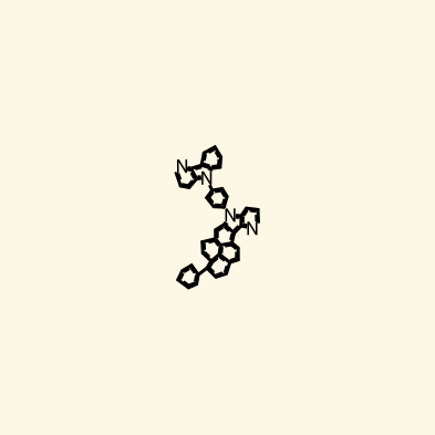 c1ccc(-c2ccc3ccc4c5c(ccc2c35)cc2c4c3ncccc3n2-c2ccc(-n3c4ccccc4c4ncccc43)cc2)cc1